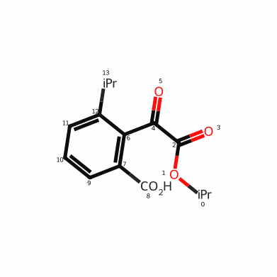 CC(C)OC(=O)C(=O)c1c(C(=O)O)cccc1C(C)C